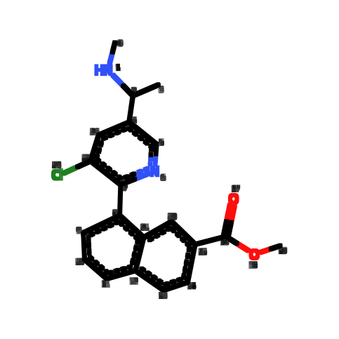 CNC(C)c1cnc(-c2cccc3ccc(C(=O)OC)cc23)c(Cl)c1